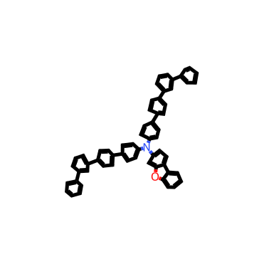 c1ccc(-c2cccc(-c3ccc(-c4ccc(N(c5ccc(-c6ccc(-c7cccc(-c8ccccc8)c7)cc6)cc5)c5ccc6c(c5)oc5ccccc56)cc4)cc3)c2)cc1